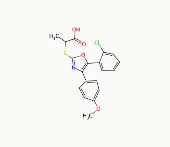 COc1ccc(-c2nc(SC(C)C(=O)O)oc2-c2ccccc2Cl)cc1